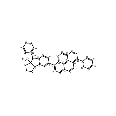 CC12CCCC1c1cc(-c3ccc4ccc5c(-c6ccccc6)ccc6ccc3c4c65)ccc1N2c1ccccc1